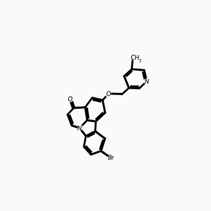 Cc1cncc(COc2cc3c(=O)ccn4c5ccc(Br)cc5c(c2)c34)c1